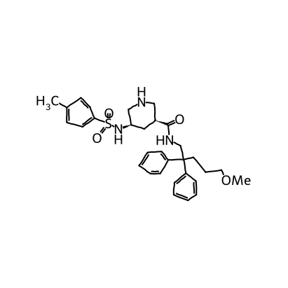 COCCCC(CNC(=O)[C@@H]1CNC[C@H](NS(=O)(=O)c2ccc(C)cc2)C1)(c1ccccc1)c1ccccc1